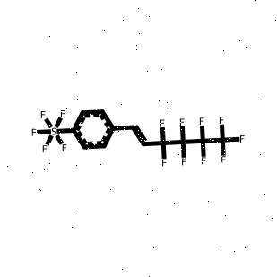 FC(F)(F)C(F)(F)C(F)(F)C(F)(F)C=Cc1ccc(S(F)(F)(F)(F)F)cc1